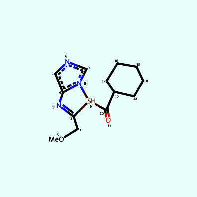 COCC1=Nc2cncn2[SH]1C(=O)C1CCCCC1